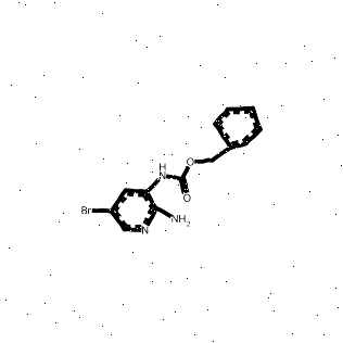 Nc1ncc(Br)cc1NC(=O)OCc1ccccc1